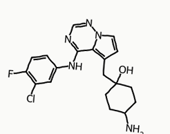 NC1CCC(O)(Cc2ccn3ncnc(Nc4ccc(F)c(Cl)c4)c23)CC1